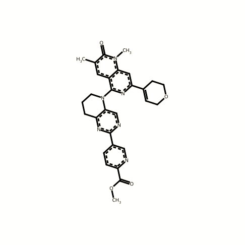 COC(=O)c1ccc(-c2ncc3c(n2)CCCN3c2nc(C3=CCOCC3)cc3c2cc(C)c(=O)n3C)cn1